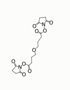 O=C(CCCOCCCC(=O)ON1C(=O)CCC1=O)ON1C(=O)CCC1=O